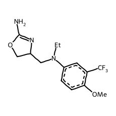 CCN(CC1COC(N)=N1)c1ccc(OC)c(C(F)(F)F)c1